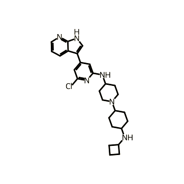 Clc1cc(-c2c[nH]c3ncccc23)cc(NC2CCN(C3CCC(NC4CCC4)CC3)CC2)n1